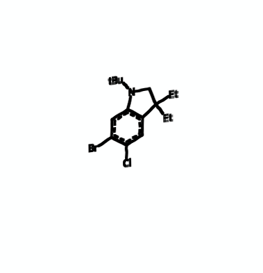 CCC1(CC)CN(C(C)(C)C)c2cc(Br)c(Cl)cc21